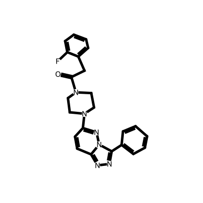 O=C(Cc1ccccc1F)N1CCN(c2ccc3nnc(-c4ccccc4)n3n2)CC1